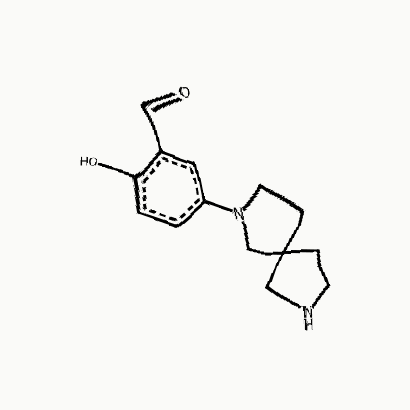 O=Cc1cc(N2CCC3(CCNC3)C2)ccc1O